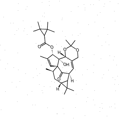 CC1=C[C@]23C(=O)[C@@H](C=C4COC(C)(C)O[C@H]4[C@]2(O)[C@H]1OC(=O)C1C(C)(C)C1(C)C)C1[C@@H](C[C@H]3C)C1(C)C